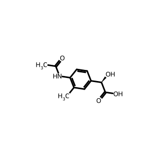 CC(=O)Nc1ccc([C@@H](O)C(=O)O)cc1C